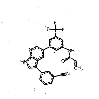 C=CC(=O)Nc1cc(-c2cnc3[nH]cc(-c4cccc(C#N)c4)c3c2)cc(C(F)(F)F)c1